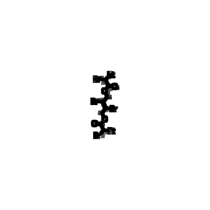 CCC(Br)C(=O)OCC(Br)=C(Br)COC(=O)C(Br)CC